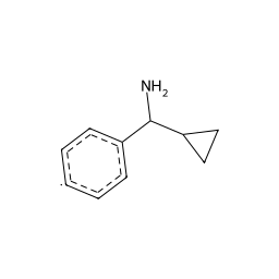 NC(c1cc[c]cc1)C1CC1